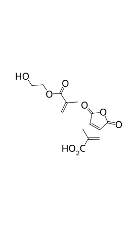 C=C(C)C(=O)O.C=C(C)C(=O)OCCO.O=C1C=CC(=O)O1